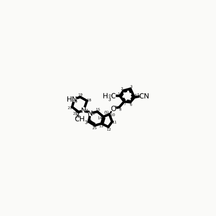 Cc1ccc(C#N)cc1CO[C@H]1CCC2=C1CN(N1CCNC[C@H]1C)C=C2